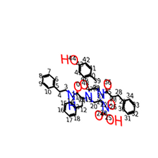 O=C(NCCc1ccccc1)[C@H](Cc1ccccc1)N1CC2N(C(=O)O)O[C@H](Cc3ccccc3)C(=O)N2[C@@H](Cc2ccc(O)cc2)C1=O